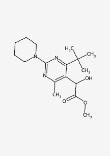 COC(=O)C(O)c1c(C)nc(N2CCCCC2)nc1C(C)(C)C